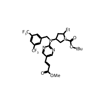 CCC1CC(N(Cc2cc(C(F)(F)F)cc(C(F)(F)F)c2)c2ncc(/C=C/C(=O)OC)cn2)CN1C(=O)OC(C)(C)C